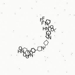 CC(C)Oc1cc2nc([C@H]3CC[C@H](CN4CCC(c5ccc6c(c5)n(C)c(=O)n6C5CCC(=O)NC5=O)CC4)CC3)cn2cc1NC(=O)c1cccc(C(F)(F)F)n1